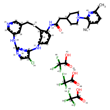 Cc1ccc(C#N)c(N2CCC(CC(=O)Nc3ccc4cc3CCc3cncc(c3)Nc3ncc(Cl)c(n3)N4)CC2)n1.O=C(O)C(F)(F)F.O=C(O)C(F)(F)F.O=C(O)C(F)(F)F